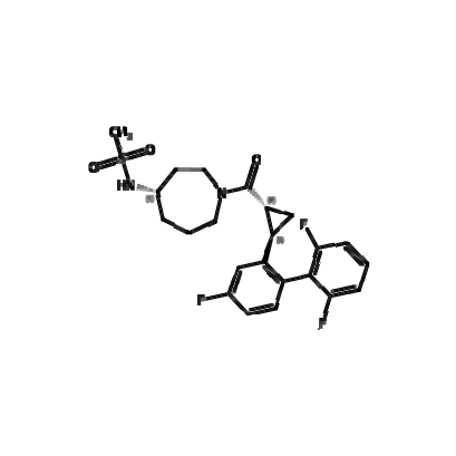 CS(=O)(=O)N[C@H]1CCCN(C(=O)[C@@H]2C[C@H]2c2cc(F)ccc2-c2c(F)cccc2F)CC1